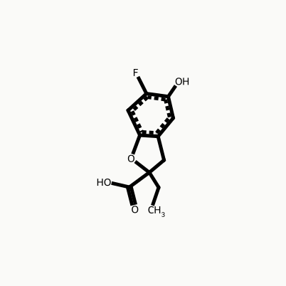 CCC1(C(=O)O)Cc2cc(O)c(F)cc2O1